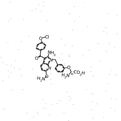 NOc1ccc2c(C(=O)c3ccc(OCl)cc3)c(N)n(Cc3cccc(O[C@@H](N)C(=O)O)c3)c2n1